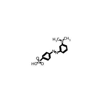 CN(C)c1cccc(N=Nc2ccc(S(=O)(=O)O)cc2)c1